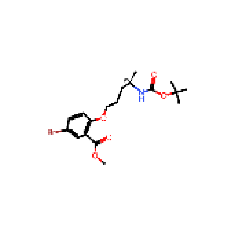 COC(=O)c1cc(Br)ccc1OCCC[C@@H](C)NC(=O)OC(C)(C)C